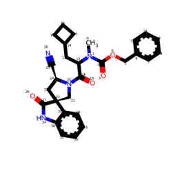 CN(C(=O)OCc1ccccc1)C(CC1CCC1)C(=O)N1C[C@]2(C[C@H]1C#N)C(=O)Nc1ccccc12